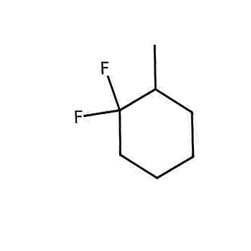 CC1CCCCC1(F)F